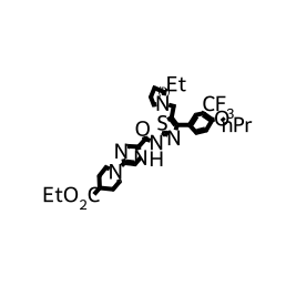 CCCOc1ccc(-c2nc(NC(=O)c3cnc(N4CCC(C(=O)OCC)CC4)cn3)sc2CN2CCC[C@H]2CC)cc1C(F)(F)F